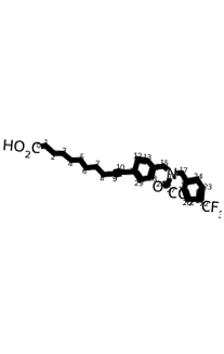 O=C(O)CCCCCCCCC#Cc1ccc(CN(Cc2ccc(C(F)(F)F)cc2)C(=O)C(=O)O)cc1